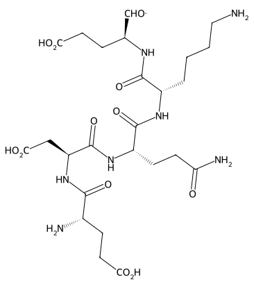 NCCCC[C@H](NC(=O)[C@H](CCC(N)=O)NC(=O)[C@H](CC(=O)O)NC(=O)[C@@H](N)CCC(=O)O)C(=O)N[C@H]([C]=O)CCC(=O)O